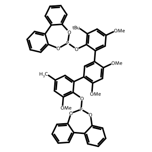 COc1cc(-c2cc(-c3cc(C)cc(OC)c3Op3oc4ccccc4c4ccccc4o3)c(OC)cc2OC)c(Op2oc3ccccc3c3ccccc3o2)c(C(C)(C)C)c1